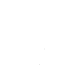 CC(C)c1ccc(N2C[C@@H](C)N[C@@H](C)C2)cc1C1CC1